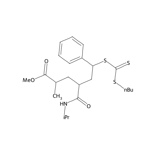 CCCCSC(=S)SC(CC(CC(C)C(=O)OC)C(=O)NC(C)C)c1ccccc1